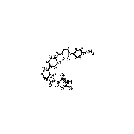 Nc1ccc(N2CCN(CC3CCN(c4cccc5c4CN(C4CCC(=O)NC4=O)C5=O)CC3)CC2)cc1